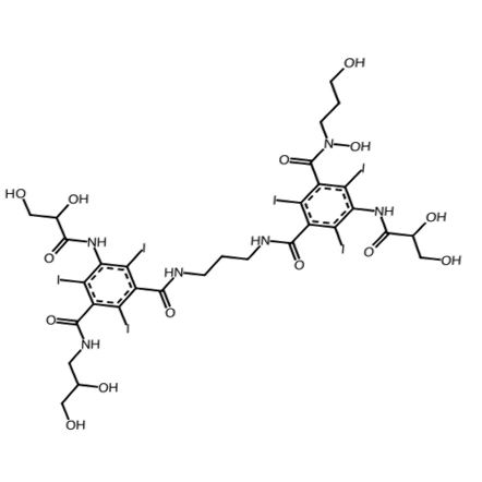 O=C(NCCCNC(=O)c1c(I)c(NC(=O)C(O)CO)c(I)c(C(=O)N(O)CCCO)c1I)c1c(I)c(NC(=O)C(O)CO)c(I)c(C(=O)NCC(O)CO)c1I